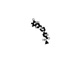 Cc1c(C)c2ncc(CN3CCN(c4ccc(C(=O)NC5CC5)nc4)CC3)cc2[nH]c1=O